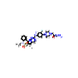 CN(c1ccccc1-c1ccc2cnc(Nc3ccc(N4CCN(CC(N)=O)CC4)c(F)c3)nn12)S(C)(=O)=O